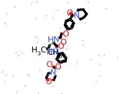 CC(C)C[C@H](NC(=O)COc1ccc(C(=O)N2CCCCC2)cc1)C(=O)Nc1[c]c(OC(=O)N2CCOCC2)ccc1